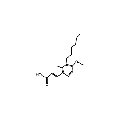 CCCCCCc1c(OC)ccc(C=CC(=O)O)c1C